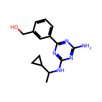 CC(Nc1nc(N)nc(-c2cccc(CO)c2)n1)C1CC1